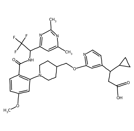 COc1ccc(C(=O)NC(c2cc(C)nc(C)n2)C(F)(F)F)c(N2CCC(COc3cc(C(CC(=O)O)C4CC4)ccn3)CC2)c1